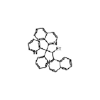 CCC(c1nccc2ccccc12)C(c1ccccn1)(c1ccccn1)c1nccc2ccccc12